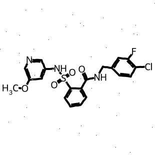 COc1cncc(NS(=O)(=O)c2ccccc2C(=O)NCc2ccc(Cl)c(F)c2)c1